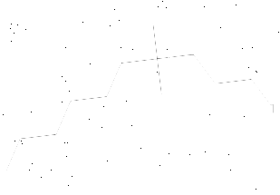 CCCCCCC(C)(C)CCCI